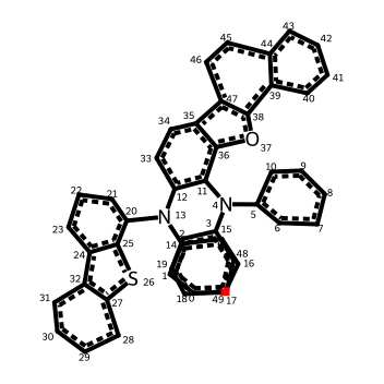 c1ccc(N(c2ccccc2)c2c(N(c3ccccc3)c3cccc4c3sc3ccccc34)ccc3c2oc2c4ccccc4ccc32)cc1